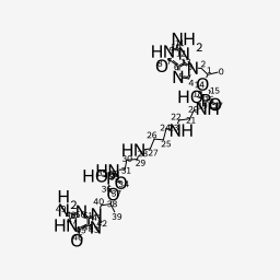 CC(Cn1cnc2c(=O)[nH]c(N)nc21)OCP(=O)(O)NCCCNCCCCNCCCNP(=O)(O)COC(C)Cn1cnc2c(=O)[nH]c(N)nc21